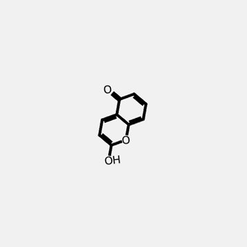 O=c1cccc2oc(O)ccc1-2